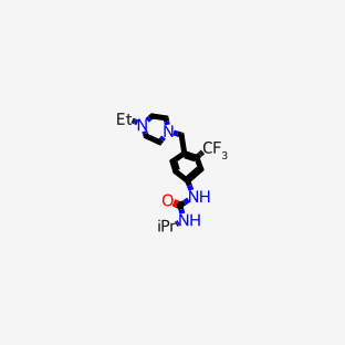 CCN1CCN(Cc2ccc(NC(=O)NC(C)C)cc2C(F)(F)F)CC1